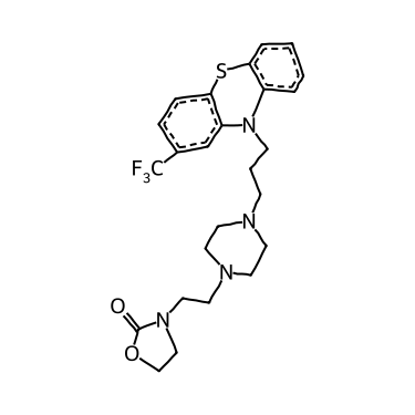 O=C1OCCN1CCN1CCN(CCCN2c3ccccc3Sc3ccc(C(F)(F)F)cc32)CC1